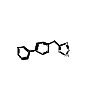 c1ccc(-c2ccc(Cc3nn[nH]n3)cc2)cc1